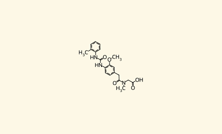 COc1cc(CC(=O)N(C)CC(=O)O)ccc1NC(=O)Nc1ccccc1C